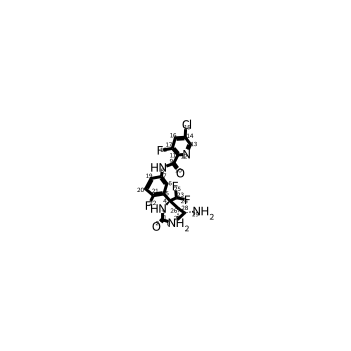 NC(=O)N[C@@](c1cc(NC(=O)c2ncc(Cl)cc2F)ccc1F)(C(F)F)[C@H]1C[C@H]1N